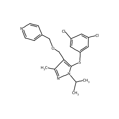 Cc1nn(C(C)C)c(Sc2cc(Cl)cc(Cl)c2)c1COCc1ccncc1